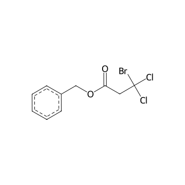 O=C(CC(Cl)(Cl)Br)OCc1ccccc1